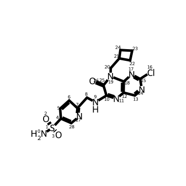 NS(=O)(=O)c1ccc(CNc2nc3cnc(Cl)nc3n(CC3CCC3)c2=O)nc1